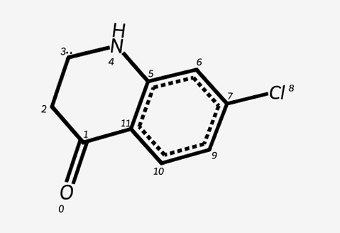 O=C1C[C]Nc2cc(Cl)ccc21